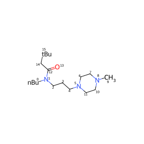 CCCCN(CCCN1CCN(C)CC1)C(=O)CC(C)(C)C